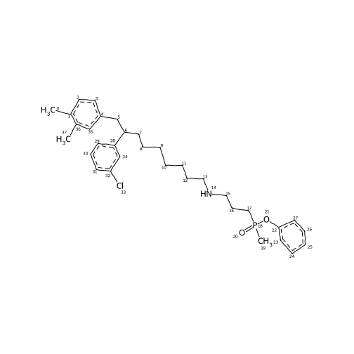 Cc1ccc(CC(CCCCCCCNCCCP(C)(=O)Oc2ccccc2)c2cccc(Cl)c2)cc1C